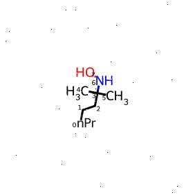 CCCCCC(C)(C)NO